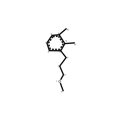 COCCCc1cccc(C)c1C